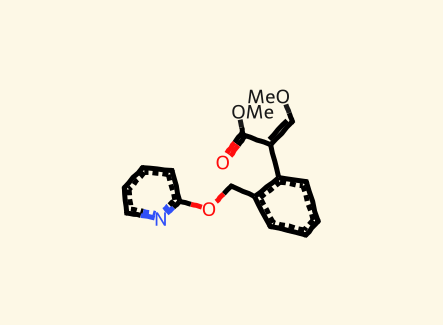 COC=C(C(=O)OC)c1ccccc1COc1ccccn1